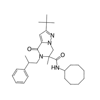 CC(CN1C(=O)c2cc(C(C)(C)C)nn2CC1(C)C(=O)NC1CCCCCCC1)c1ccccc1